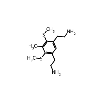 CSc1c(CCN)cc(CCN)c(SC)c1C